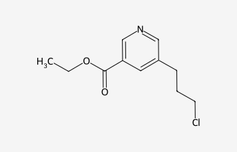 CCOC(=O)c1cncc(CCCCl)c1